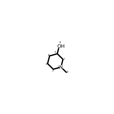 CN1CC[CH]C(O)C1